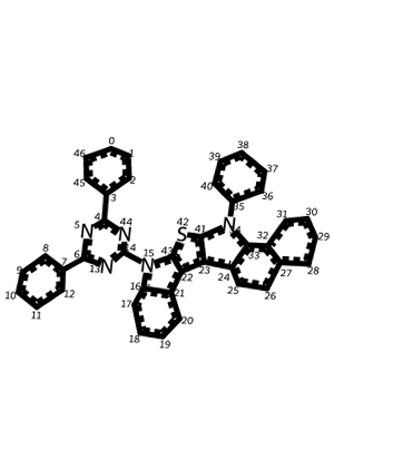 c1ccc(-c2nc(-c3ccccc3)nc(-n3c4ccccc4c4c5c6ccc7ccccc7c6n(-c6ccccc6)c5sc43)n2)cc1